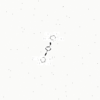 OC[C@H]1O[C@@H](C#Cc2ccc(C#C[C@H]3O[C@H](CO)[C@@H](O)[C@H](O)[C@@H]3O)cc2)[C@@H](O)[C@@H](O)[C@@H]1O